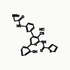 CNCC(=O)Nc1cccc(-c2cc(-c3ccccc3O)nc(NC(=O)c3cccs3)c2C#N)c1.Cl